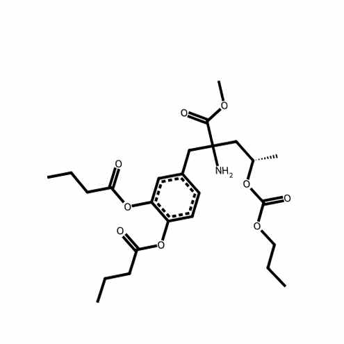 CCCOC(=O)O[C@@H](C)CC(N)(Cc1ccc(OC(=O)CCC)c(OC(=O)CCC)c1)C(=O)OC